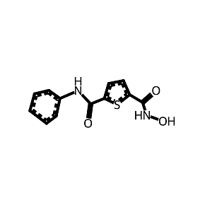 O=C(NO)c1ccc(C(=O)Nc2ccccc2)s1